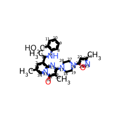 Cc1cc([C@@H](C)Nc2ccccc2C(=O)O)c2nc(N3CCN(c4cc(C)no4)CC3)c(C)c(=O)n2c1